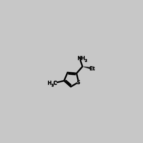 CC[C@@H](N)c1cc(C)cs1